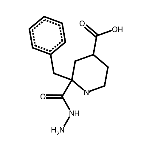 NNC(=O)C1(Cc2ccccc2)CC(C(=O)O)CC[N]1